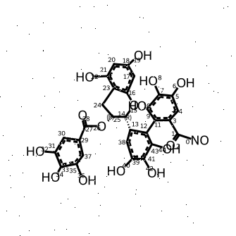 O=NC(=O)c1cc(O)c(O)c(O)c1-c1c([C@H]2Oc3cc(O)cc(O)c3C[C@H]2OC(=O)c2cc(O)c(O)c(O)c2)cc(O)c(O)c1O